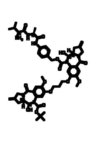 C=C1C[C@H]2[C@H](O)N(C(=O)OCc3ccc(NC(=O)[C@H](C)NC(=O)[C@@H](N)C(C)C)cc3)c3cc(OCCCOc4cc5c(cc4OC)C(=O)N4CC(=C)C[C@H]4[C@H](O)N5C(=O)OC(C)(C)C)c(OC)cc3C(=O)N2C1